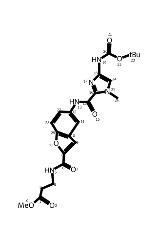 COC(=O)CCNC(=O)c1cc2cc(NC(=O)c3nc(NC(=O)OC(C)(C)C)cn3C)ccc2o1